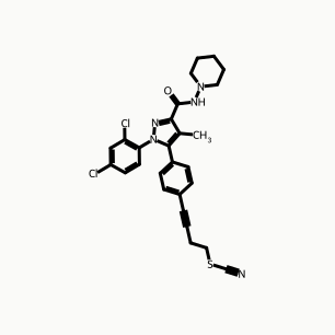 Cc1c(C(=O)NN2CCCCC2)nn(-c2ccc(Cl)cc2Cl)c1-c1ccc(C#CCCSC#N)cc1